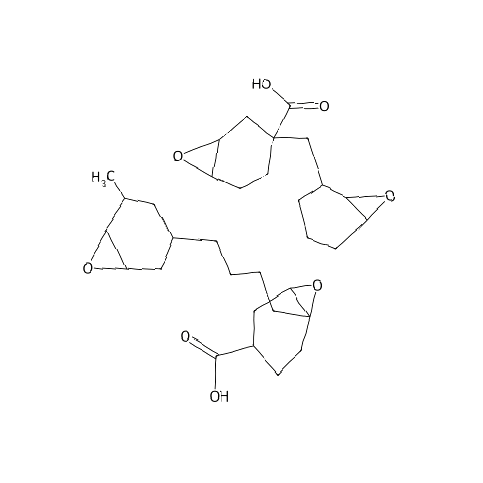 CC1CC(CCCCC23CCC(C(=O)O)CC2O3)CC2OC12.O=C(O)C1(CC2CCCC3OC23)CCC2OC2C1